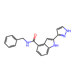 O=C(NCc1ccccc1)c1cccc2[nH]c(-c3cc[nH]n3)cc12